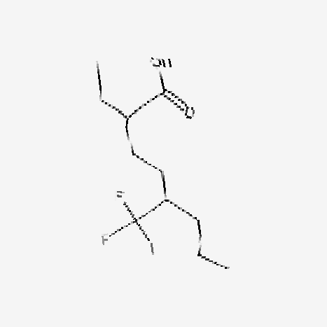 CCCC(CCC(CC)C(=O)O)C(F)(F)F